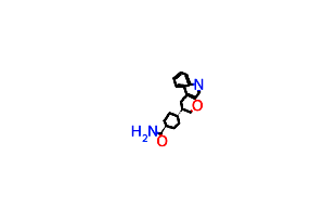 NC(=O)[C@H]1CC[C@H](C2COc3cnc4ccccc4c3C2)CC1